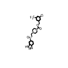 O=C(OCc1cc(Cl)cc(C(F)(F)F)c1)N1CCN(CC[S+]([O-])c2ccc3nn[nH]c3c2)CC1